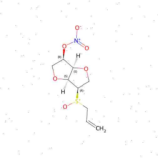 C=CC[S+]([O-])[C@@H]1CO[C@H]2[C@@H]1OC[C@H]2O[N+](=O)[O-]